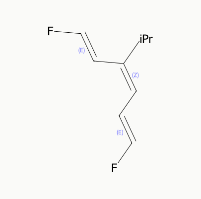 CC(C)C(=C/C=C/F)/C=C/F